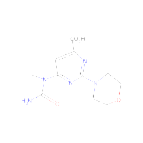 CN(C(N)=O)c1cc(C(=O)O)nc(N2CCOCC2)n1